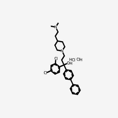 CN(C)CCC1CCN(CCC(O)(c2ccc(-c3ccccc3)cc2)c2ccc(Cl)cc2Cl)CC1.Cl.Cl